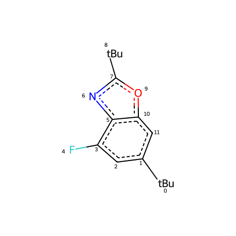 CC(C)(C)c1cc(F)c2nc(C(C)(C)C)oc2c1